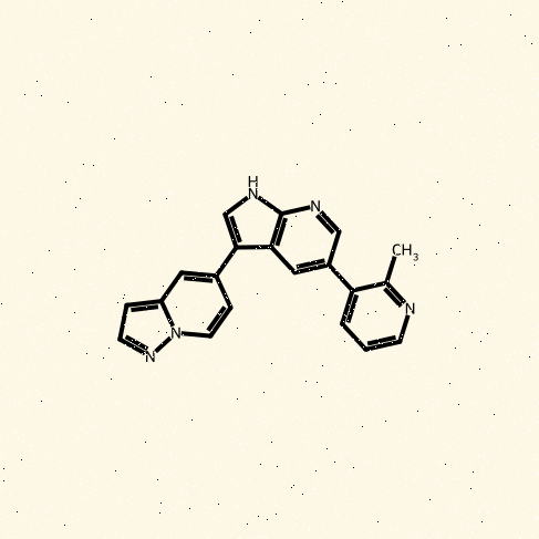 Cc1ncccc1-c1cnc2[nH]cc(-c3ccn4nccc4c3)c2c1